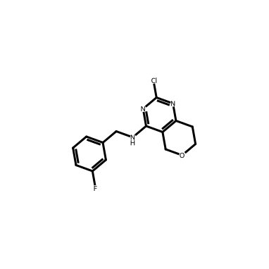 Fc1cccc(CNc2nc(Cl)nc3c2COCC3)c1